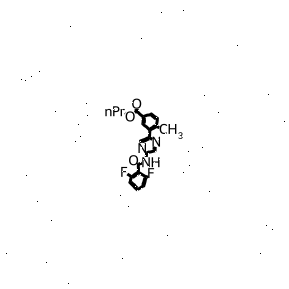 CCCOC(=O)c1ccc(C)c(-c2cnc(NC(=O)c3c(F)cccc3F)cn2)c1